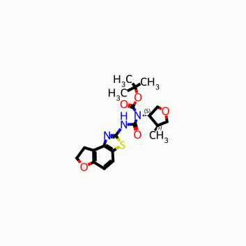 C[C@@H]1COC[C@H]1N(C(=O)Nc1nc2c3c(ccc2s1)OCC3)C(=O)OC(C)(C)C